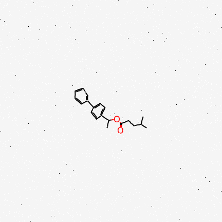 CC(C)CCC(=O)OC(C)c1ccc(-c2ccccc2)cc1